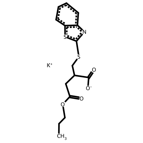 CCCOC(=O)CC(CSc1nc2ccccc2s1)C(=O)[O-].[K+]